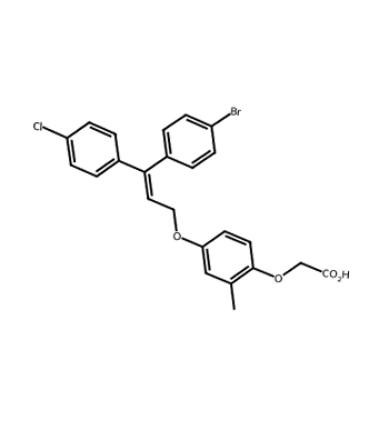 Cc1cc(OC/C=C(/c2ccc(Cl)cc2)c2ccc(Br)cc2)ccc1OCC(=O)O